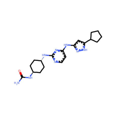 NC(=O)N[C@H]1CC[C@H](Nc2nccc(Nc3cc(C4CCCC4)[nH]n3)n2)CC1